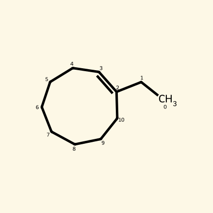 CCC1=CCCCCCCC1